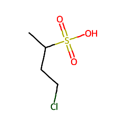 CC(CCCl)S(=O)(=O)O